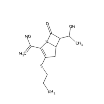 C=C(N=O)C1=C(SCCN)CC2C(C(C)O)C(=O)N12